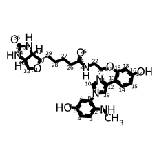 CNc1ccc(O)cc1-n1cnc(-c2ccc(O)cc2OCCNC(=O)CCCC[C@@H]2OC[C@@H]3NC(=O)N[C@@H]32)c1